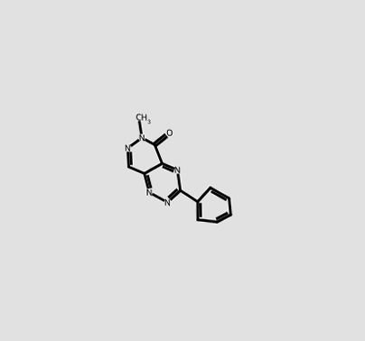 Cn1ncc2nnc(-c3ccccc3)nc2c1=O